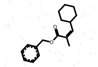 CC(=CC1CCCCC1)C(=O)OCc1ccccc1